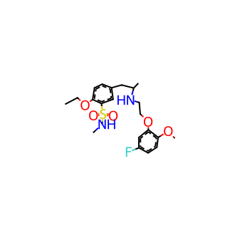 CCOc1ccc(CC(C)NCCOc2cc(F)ccc2OC)cc1S(=O)(=O)NC